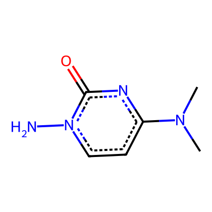 CN(C)c1ccn(N)c(=O)n1